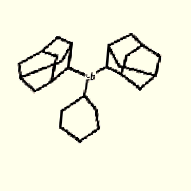 C1CC[CH]([Sb]([CH]2C3CC4CC(C3)CC2C4)[CH]2C3CC4CC(C3)CC2C4)CC1